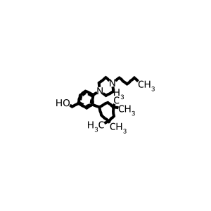 CCCCN1CCN(c2ccc(CO)cc2C2CC(C)(C)CC(C)(C)C2)CC1